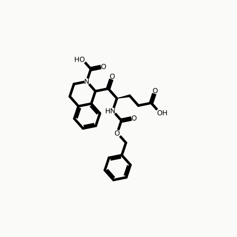 O=C(O)CC[C@@H](NC(=O)OCc1ccccc1)C(=O)C1c2ccccc2CCN1C(=O)O